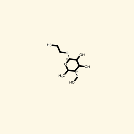 CC1O[C@H](OCCS)C(O)C(O)[C@@H]1CO